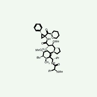 CC[C@H](C)[C@@H]([C@@H](CC(=O)N1CCC[C@H]1[C@H](OC)[C@H](C)C(=O)N[C@@]1(C(=O)N2CCCCO2)C[C@@H]1c1ccccc1)OC)N(C)C(=O)[C@@H](NC(=O)[C@@H](NC)C(C)C)C(C)C